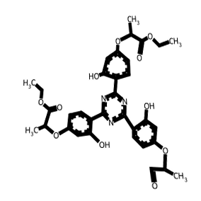 CCOC(=O)C(C)Oc1ccc(-c2nc(-c3ccc(OC(C)C=O)cc3O)nc(-c3ccc(OC(C)C(=O)OCC)cc3O)n2)c(O)c1